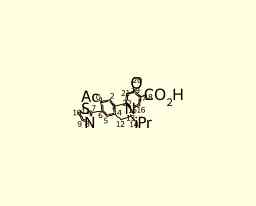 CC(=O)c1cc2c(cc1-c1nccs1)CC(C(C)C)n1cc(C(=O)O)c(=O)cc1-2